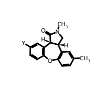 Cc1ccc2c(c1)[C@H]1CN(C)C(=O)[C@H]1c1c[c]([Y])ccc1O2